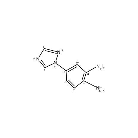 Nc1ccc(-n2cncn2)cc1N